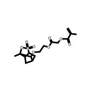 C=C(C)C(=O)OCC(=O)OCCOC1C2CC3C(C2)S(=O)(=O)OC31C